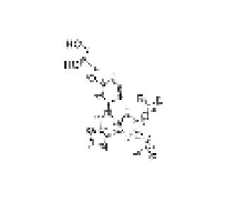 OCC(O)COc1cccc(N(Cc2cncs2)c2ccc(OC(F)F)c(OC(F)F)c2)c1